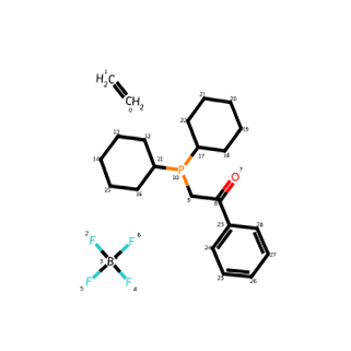 C=C.F[B-](F)(F)F.O=C(CP(C1CCCCC1)C1CCCCC1)c1ccccc1